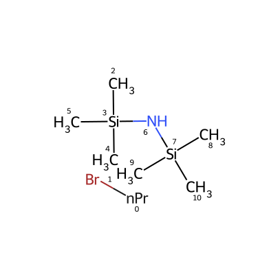 CCCBr.C[Si](C)(C)N[Si](C)(C)C